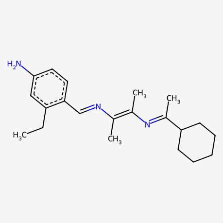 CCc1cc(N)ccc1/C=N/C(C)=C(C)/N=C(\C)C1CCCCC1